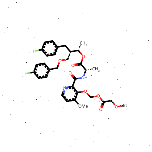 CCOCC(=O)OCOc1c(OC)ccnc1C(=O)N[C@@H](C)C(=O)O[C@@H](C)[C@@H](COCc1ccc(F)cc1)Cc1ccc(F)cc1